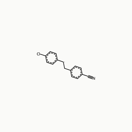 N#Cc1ccc(C[CH]c2ccc(Cl)cc2)cc1